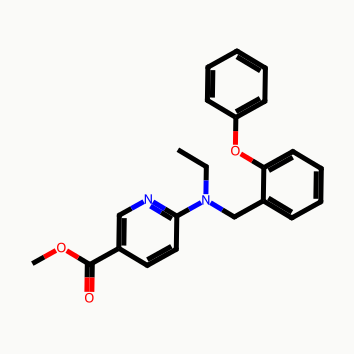 CCN(Cc1ccccc1Oc1ccccc1)c1ccc(C(=O)OC)cn1